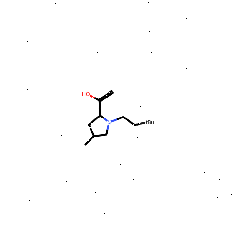 C=C(O)C1CC(C)CN1CCC(C)(C)C